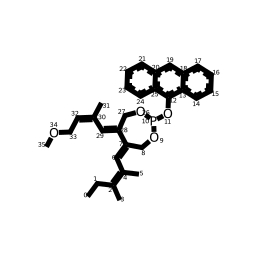 CC\C(C)=C(C)/C=C1\COP(Oc2c3ccccc3cc3ccccc23)OC\C1=C/C(C)=C\COC